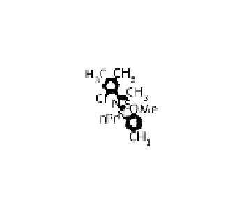 CCCN(c1nc(-c2cc(C)c(C)cc2Cl)c(C)s1)c1cc(C)ccc1OC